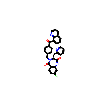 O=C(c1cccc2cccnc12)C1CCC(CN2C(=O)c3ccc(Cl)cc3NC(=O)[C@H]2Cc2ccccn2)CC1